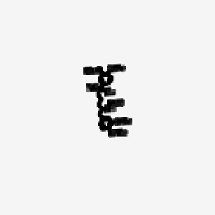 CCC(C)C(C#N)(CCCC(Cc1ccc(OC)c(OC)c1)NC=O)c1ccc(OC)c(OC)c1